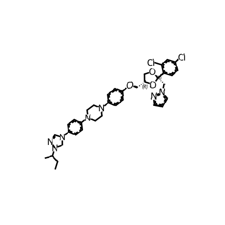 CCC(C)N1CN(c2ccc(N3CCN(c4ccc(OC[C@@H]5CO[C@@](Cn6cccn6)(c6ccc(Cl)cc6Cl)O5)cc4)CC3)cc2)C=N1